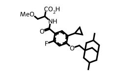 COCC(NC(=O)c1cc(C2CC2)c(OCC23CC(C)CC(CC(C)C2)C3)cc1F)C(=O)O